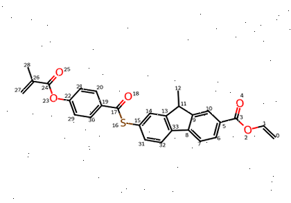 C=COC(=O)c1ccc2c(c1)C(C)c1cc(SC(=O)c3ccc(OC(=O)C(=C)C)cc3)ccc1-2